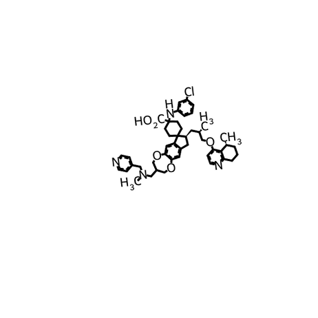 C[C@@H](COc1ccnc2c1[C@H](C)CCC2)C[C@H]1Cc2cc3c(cc2C12CCC(Nc1cccc(Cl)c1)(C(=O)O)CC2)OCC(CN(C)Cc1ccncc1)CO3